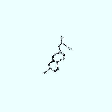 CCN(CC)Cc1cnc2ccc(O)cc2c1